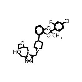 CC1(c2ccc(Cl)cc2F)Oc2cccc(C3CCN(Cc4nnc(CO)n4CC4CCO4)CC3)c2O1